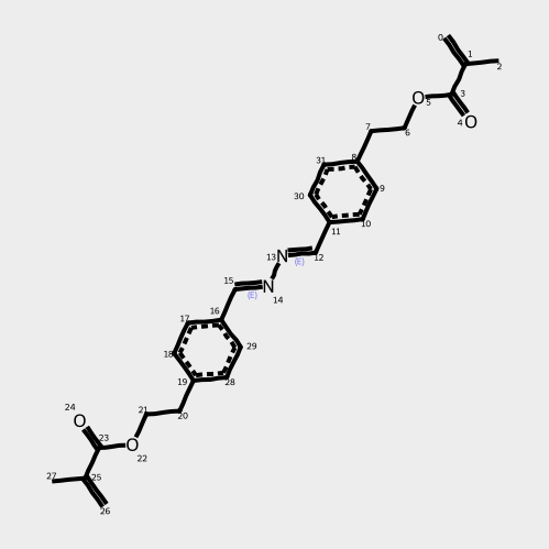 C=C(C)C(=O)OCCc1ccc(/C=N/N=C/c2ccc(CCOC(=O)C(=C)C)cc2)cc1